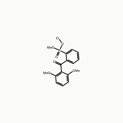 CCOP(=O)(OC)c1ccccc1C(=O)c1c(OC)cccc1OC